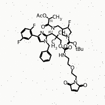 CC(=O)O[C@@H](C)C(=O)N(CC1CN(C(=O)OC(C)(C)C)CC1F)[C@@H](c1nc(-c2cc(F)ccc2F)cn1Cc1ccccc1)C(C)(C)COC(=O)NCCOCCN1C(=O)C=CC1=O